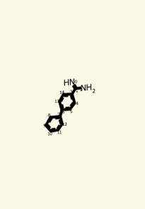 N=C(N)c1ccc(-c2c[c]ccc2)cc1